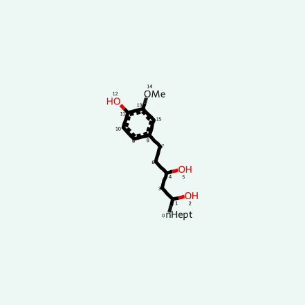 CCCCCCCC(O)CC(O)CCc1ccc(O)c(OC)c1